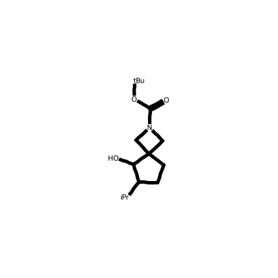 CC(C)C1CCC2(CN(C(=O)OC(C)(C)C)C2)C1O